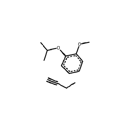 C#CCC.COc1ccccc1OC(C)C